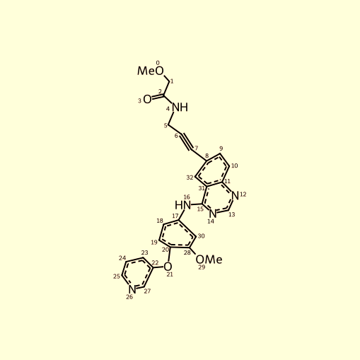 COCC(=O)NCC#Cc1ccc2ncnc(Nc3ccc(Oc4cccnc4)c(OC)c3)c2c1